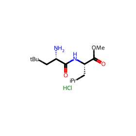 COC(=O)[C@H](CC(C)C)NC(=O)[C@@H](N)CC(C)(C)C.Cl